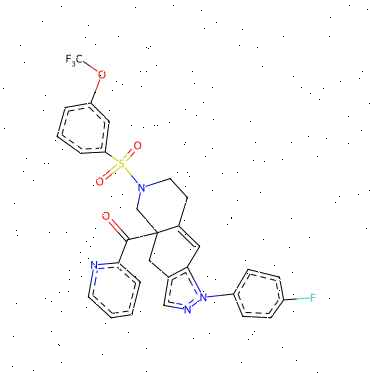 O=C(c1ccccn1)C12Cc3cnn(-c4ccc(F)cc4)c3C=C1CCN(S(=O)(=O)c1cccc(OC(F)(F)F)c1)C2